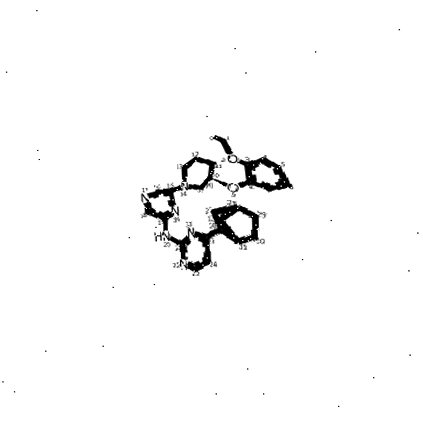 CCOc1ccccc1O[C@@H]1CCCN(c2cncc(Nc3nccc(C4CC5CCC4C5)n3)n2)C1